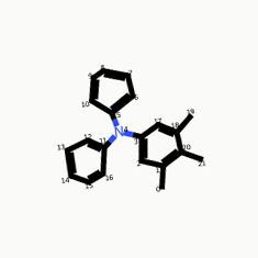 Cc1cc(N(c2ccccc2)c2ccccc2)cc(C)c1C